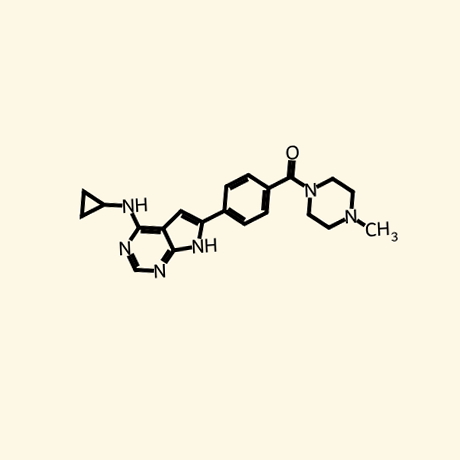 CN1CCN(C(=O)c2ccc(-c3cc4c(NC5CC5)ncnc4[nH]3)cc2)CC1